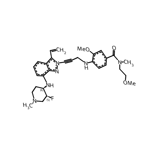 C=Cc1c2cccc(N[C@@H]3CCN(C)C[C@@H]3F)c2nn1C#CCNc1ccc(C(=O)N(C)CCOC)cc1OC